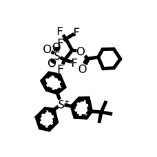 CC(C)(C)c1ccc([S+](c2ccccc2)c2ccccc2)cc1.O=C(OC(C(F)(F)F)C(F)(F)S(=O)(=O)[O-])C1CCCCC1